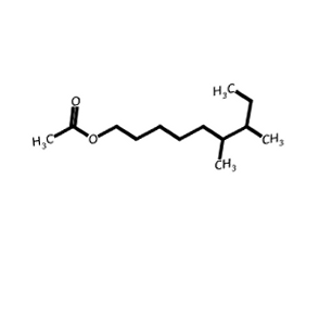 CCC(C)C(C)CCCCCOC(C)=O